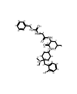 CC(C)CC(NC(=O)CNC(=O)OCc1ccccc1)C(=O)NC1CCC(Cc2ccccc2F)(N(C)C)CC1